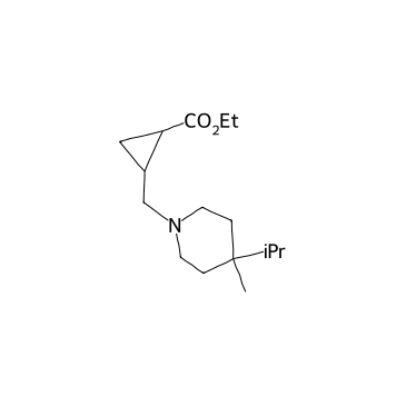 CCOC(=O)C1CC1CN1CCC(C)(C(C)C)CC1